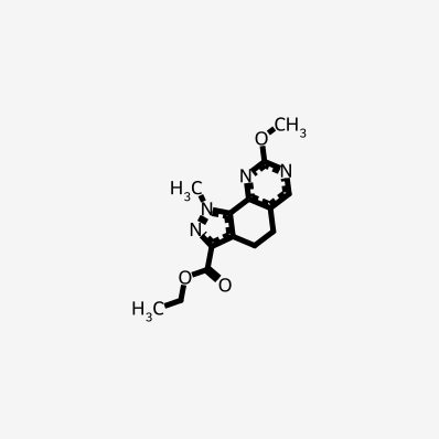 CCOC(=O)c1nn(C)c2c1CCc1cnc(OC)nc1-2